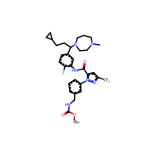 CN1CCCN(C(CCC2CC2)c2ccc(F)c(NC(=O)c3cc(C(F)(F)F)nn3-c3cccc(CNC(=O)OC(C)(C)C)c3)c2)CC1